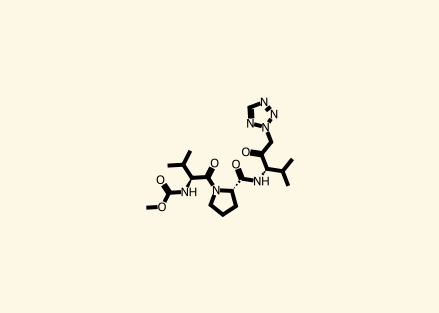 COC(=O)N[C@H](C(=O)N1CCC[C@H]1C(=O)N[C@H](C(=O)Cn1ncnn1)C(C)C)C(C)C